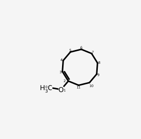 COC1=CCCCCCCCC1